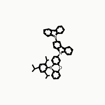 CC(C)c1cc(C(C)C)c(B2c3ccccc3Oc3cc(-n4c5ccccc5c5cc(-n6c7ccccc7c7ccccc76)ccc54)ccc32)c(C(C)C)c1